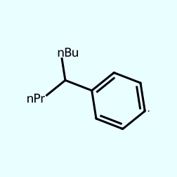 CCCCC(CCC)c1cc[c]cc1